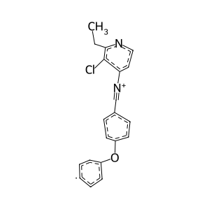 CCc1nccc([N+]#Cc2ccc(Oc3cc[c]cc3)cc2)c1Cl